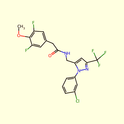 COc1c(F)cc(CC(=O)NCc2cc(C(F)(F)F)nn2-c2cccc(Cl)c2)cc1F